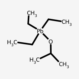 C[CH2][Pb]([CH2]C)([CH2]C)[O]C(C)C